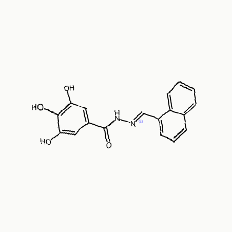 O=C(N/N=C/c1cccc2ccccc12)c1cc(O)c(O)c(O)c1